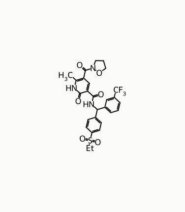 CCS(=O)(=O)c1ccc(C(NC(=O)c2cc(C(=O)N3CCCO3)c(C)[nH]c2=O)c2cccc(C(F)(F)F)c2)cc1